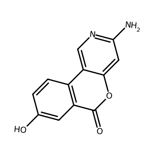 Nc1cc2oc(=O)c3cc(O)ccc3c2cn1